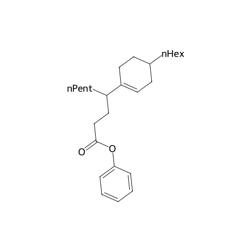 CCCCCCC1CC=C(C(CCCCC)CCC(=O)Oc2ccccc2)CC1